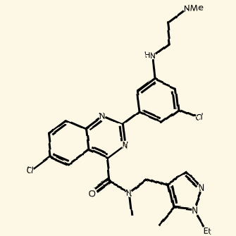 CCn1ncc(CN(C)C(=O)c2nc(-c3cc(Cl)cc(NCCNC)c3)nc3ccc(Cl)cc23)c1C